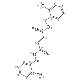 Cc1ccccc1COC(=O)C=CC(=O)OCc1ccccc1C